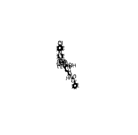 O=C(NCCCCC(NS(=O)(=O)N1CCN(c2ccc(Cl)cc2)CC1)C(=O)NO)OCc1ccccc1